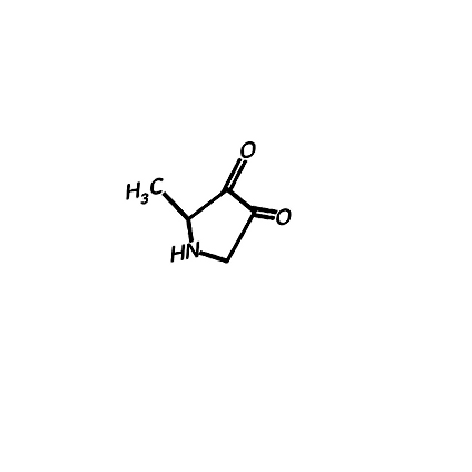 CC1NCC(=O)C1=O